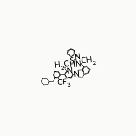 C=Cc1nc(N2CCc3cccc(C(=C)Nc4nc5ccccc5s4)c3C2)ccc1-c1cccc(CC2CCCCC2)c1C(F)(F)F